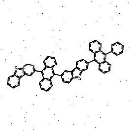 c1ccc(-c2c3ccccc3c(-c3ccc4c(c3)sc3ccc(-c5c6ccccc6c(-c6ccc7sc8ccccc8c7c6)c6ccccc56)cc34)c3ccccc23)cc1